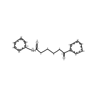 O=C(CCCCC(=O)c1ccccc1)Nc1ccccc1